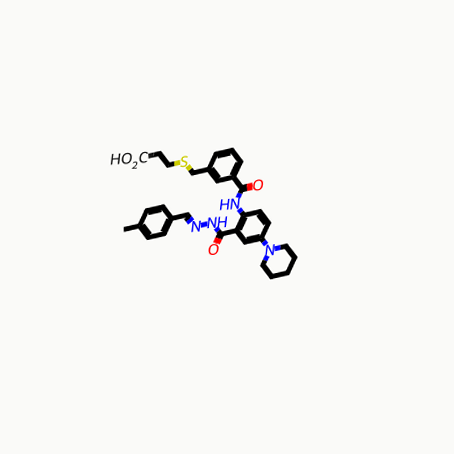 Cc1ccc(C=NNC(=O)c2cc(N3CCCCC3)ccc2NC(=O)c2cccc(CSCCC(=O)O)c2)cc1